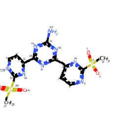 CS(=O)(=O)c1nccc(-c2nc(N)nc(-c3ccnc(S(C)(=O)=O)n3)n2)n1